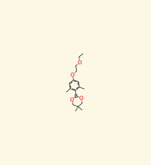 CCOCCOc1cc(C)c(B2OCC(C)(C)CO2)c(C)c1